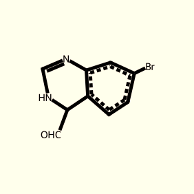 O=CC1NC=Nc2cc(Br)ccc21